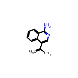 C=C(C)c1cnc(N)c2ccccc12